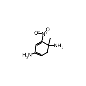 CC1(N)CC=C(N)C=C1[N+](=O)[O-]